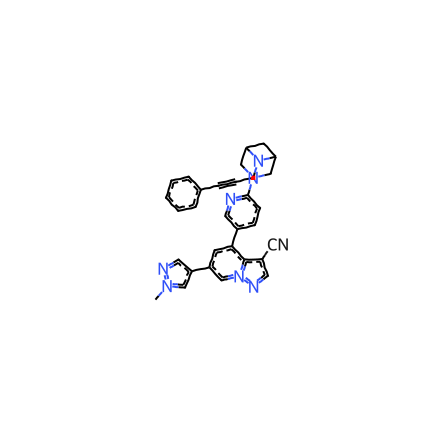 Cn1cc(-c2cc(-c3ccc(N4CC5CC(C4)N5CC#Cc4ccccc4)nc3)c3c(C#N)cnn3c2)cn1